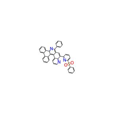 O=S(=O)(c1ccccc1)c1cccc(-c2cc3c(-c4ccccc4)nc4c5ccccc5c5ccccc5c4c3c3cccnc23)n1